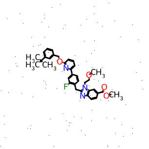 COCCn1c(Cc2ccc(-c3cccc(OCc4cccc(C(C)(C)C)c4)n3)cc2F)nc2ccc(C(=O)OC)cc21